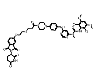 COc1cc(OC)c(Cl)c(NC(=O)N(C)c2cc(Nc3ccc(N4CCN(C(=O)CCOCCOc5ccc6c(c5)C(=O)N(C5CCC(=O)NC5=O)C6=O)CC4)cc3)ncn2)c1Cl